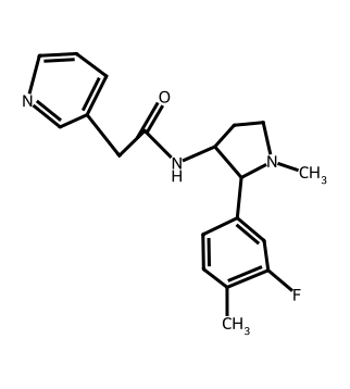 Cc1ccc(C2C(NC(=O)Cc3cccnc3)CCN2C)cc1F